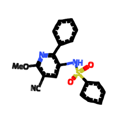 COc1nc(-c2ccccc2)c(NS(=O)(=O)c2ccccc2)cc1C#N